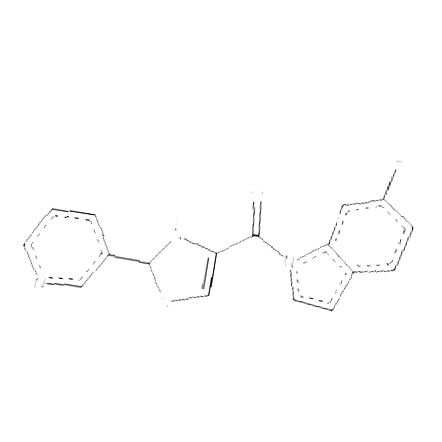 O=C(C1=CSC(c2cccnc2)N1)n1ccc2ccc(F)cc21